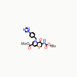 COC(=O)C1=CN(Cc2ccc(-n3cncn3)cc2)C2C(=O)[C@@H](NC(=O)OC(C)(C)C)CSC2=C1